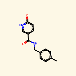 Cc1ccc(CNC(=O)c2ccc(=O)[nH]c2)cc1